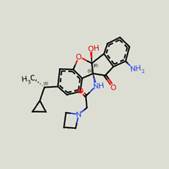 C[C@H](c1ccc2c(c1)O[C@]1(O)c3cccc(N)c3C(=O)[C@]21NC(=O)CN1CCC1)C1CC1